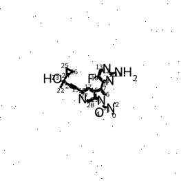 CN(C)C(=O)n1cc(-c2nc(N)ncc2F)c2cc(C#CC(C)(O)C3CC3)ncc21